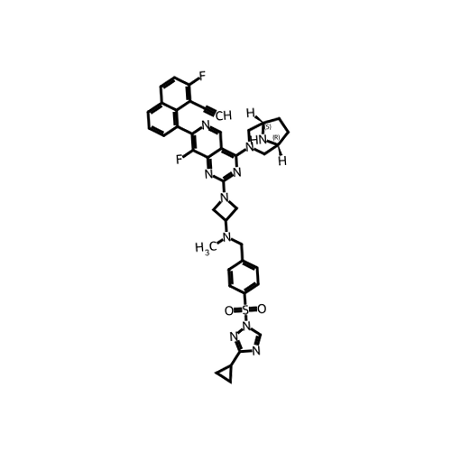 C#Cc1c(F)ccc2cccc(-c3ncc4c(N5C[C@H]6CC[C@@H](C5)N6)nc(N5CC(N(C)Cc6ccc(S(=O)(=O)n7cnc(C8CC8)n7)cc6)C5)nc4c3F)c12